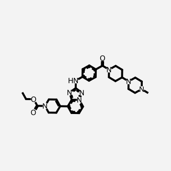 CCOC(=O)N1CC=C(c2cccn3nc(Nc4ccc(C(=O)N5CCC(N6CCN(C)CC6)CC5)cc4)nc23)CC1